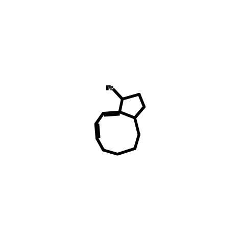 CC(C)C1CCC2CCCCC=CC=C21